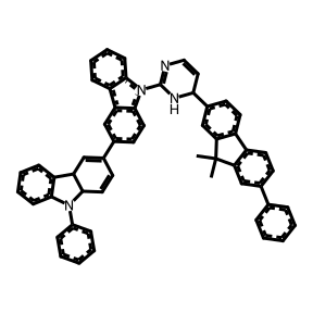 CC1(C)c2cc(-c3ccccc3)ccc2-c2ccc(C3C=CN=C(n4c5ccccc5c5cc(C6=CC7c8ccccc8N(c8ccccc8)C7C=C6)ccc54)N3)cc21